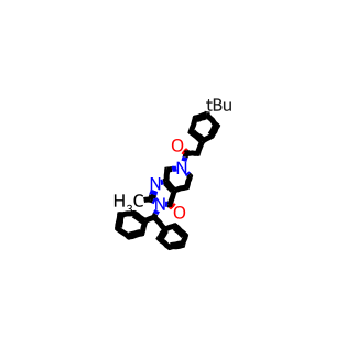 Cc1nc2c(c(=O)n1C(c1ccccc1)c1ccccc1)CCN(C(=O)Cc1ccc(C(C)(C)C)cc1)C2